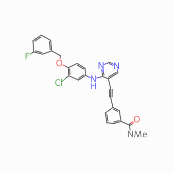 CNC(=O)c1cccc(C#Cc2cncnc2Nc2ccc(OCc3cccc(F)c3)c(Cl)c2)c1